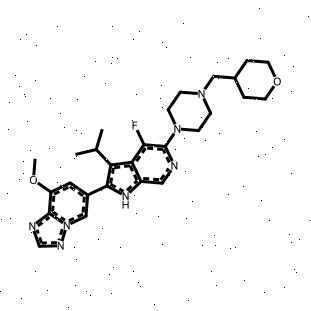 COc1cc(-c2[nH]c3cnc(N4CCN(CC5CCOCC5)CC4)c(F)c3c2C(C)C)cn2ncnc12